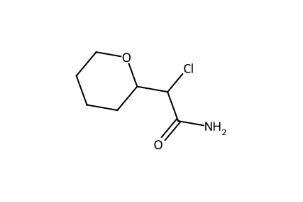 NC(=O)C(Cl)C1CCCCO1